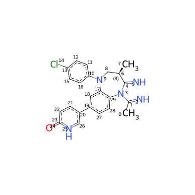 CC(=N)N1C(=N)[C@H](C)CN(c2ccc(Cl)cc2)c2cc(-c3ccc(=O)[nH]c3)ccc21